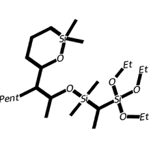 CCCCCC(C(C)O[Si](C)(C)C(C)[Si](OCC)(OCC)OCC)C1CCC[Si](C)(C)O1